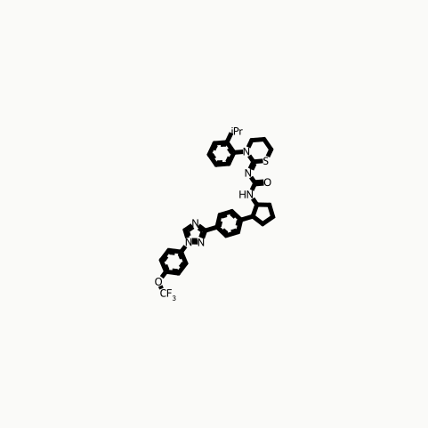 CC(C)c1ccccc1N1CCCS/C1=N\C(=O)NC1CCCC1c1ccc(-c2ncn(-c3ccc(OC(F)(F)F)cc3)n2)cc1